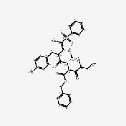 CC(C)C[C@H](N)C(=O)N(C(=O)OCc1ccccc1)[C@@H](CC(C)C)C(=O)[C@H](/C=C(\N)S(=O)(=O)c1ccccc1)Cc1ccc(O)cc1